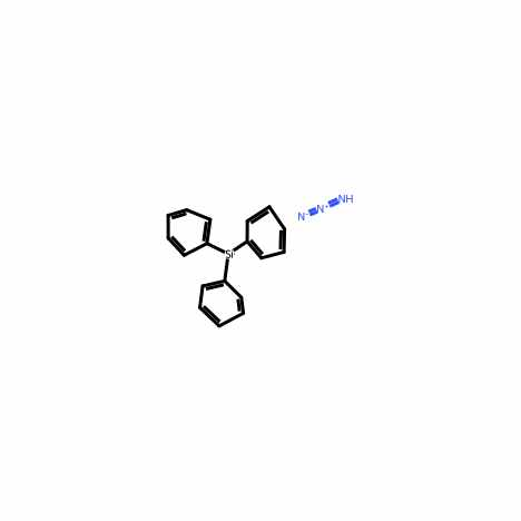 [N-]=[N+]=N.c1ccc([Si](c2ccccc2)c2ccccc2)cc1